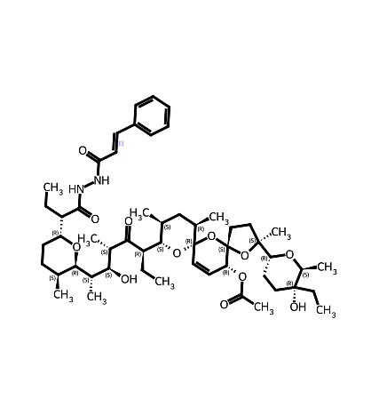 CCC(C(=O)NNC(=O)/C=C/c1ccccc1)[C@H]1CC[C@H](C)[C@H]([C@@H](C)[C@H](O)[C@H](C)C(=O)[C@H](CC)[C@H]2O[C@]3(C=C[C@@H](OC(C)=O)[C@]4(CC[C@@](C)([C@H]5CC[C@](O)(CC)[C@H](C)O5)O4)O3)[C@H](C)C[C@@H]2C)O1